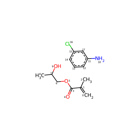 C=C(C)C(=O)OCC(C)O.Nc1cccc(Cl)c1